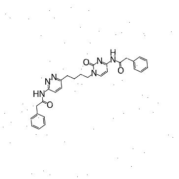 O=C(Cc1ccccc1)Nc1ccc(CCCCn2ccc(NC(=O)Cc3ccccc3)nc2=O)nn1